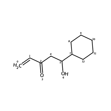 C=CC(=O)CC(O)C1CCCCC1